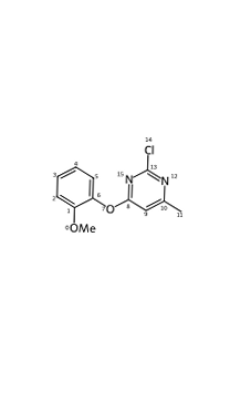 COc1ccccc1Oc1cc(C)nc(Cl)n1